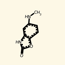 CNc1ccc2oc(=O)[nH]c2c1